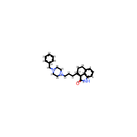 O=C1Nc2cccc3c2C1(CCCCN1CCN(Cc2ccccc2)CC1)CCC3